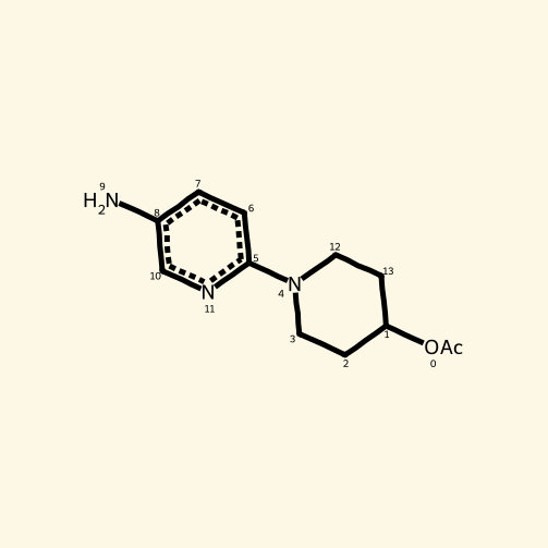 CC(=O)OC1CCN(c2ccc(N)cn2)CC1